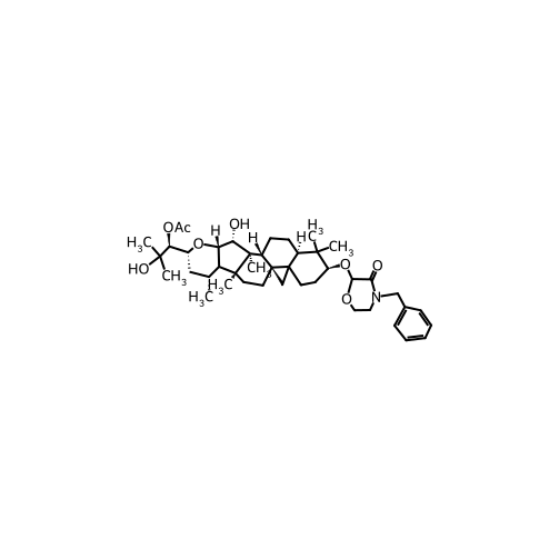 CC(=O)O[C@@H]([C@H]1C[C@@H](C)C2[C@H](O1)[C@H](O)[C@@]1(C)[C@@H]3CC[C@H]4C(C)(C)[C@@H](OC5OCCN(Cc6ccccc6)C5=O)CCC45C[C@@]35CC[C@]21C)C(C)(C)O